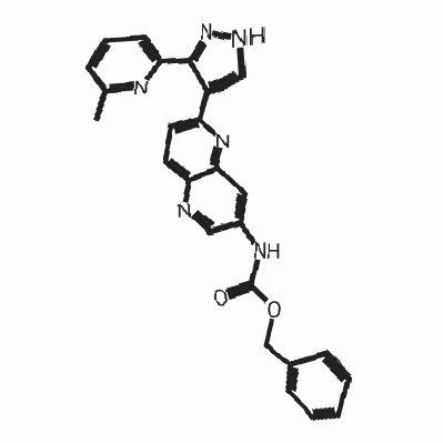 Cc1cccc(-c2n[nH]cc2-c2ccc3ncc(NC(=O)OCc4ccccc4)cc3n2)n1